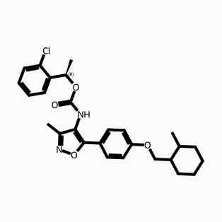 Cc1noc(-c2ccc(OCC3CCCCC3C)cc2)c1NC(=O)O[C@H](C)c1ccccc1Cl